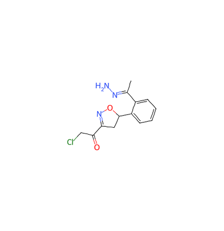 CC(=NN)c1ccccc1C1CC(C(=O)CCl)=NO1